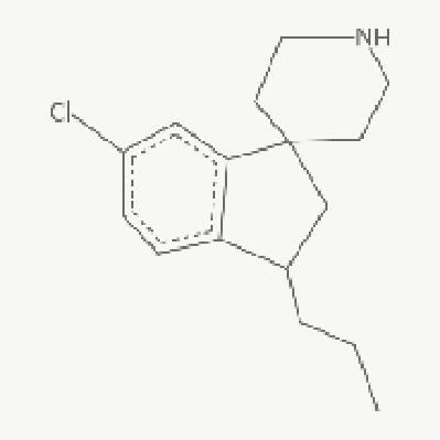 CCCC1CC2(CCNCC2)c2cc(Cl)ccc21